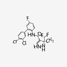 CC1(C(F)F)NNC=C1C(=O)Nc1ccc(F)cc1-c1ccc(Cl)c(Cl)c1